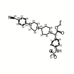 CCOC(=O)C(c1ccc(NS(C)(=O)=O)cc1)N1CCC(N2CCN(c3ccc(C#N)cc3)CC2)CC1